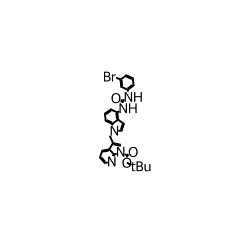 CC(C)(C)OC(=O)n1cc(Cn2ccc3c(NC(=O)Nc4cccc(Br)c4)cccc32)c2cccnc21